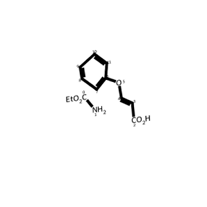 CCOC(N)=O.O=C(O)C=COc1ccccc1